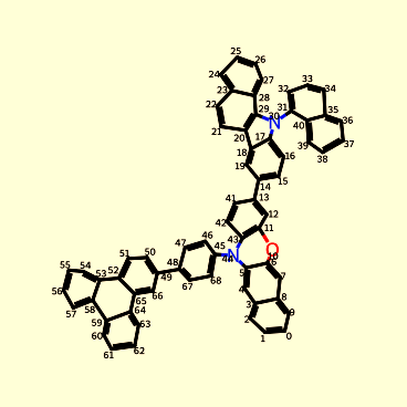 c1ccc2cc3c(cc2c1)Oc1cc(-c2ccc4c(c2)c2ccc5ccccc5c2n4-c2cccc4ccccc24)ccc1N3c1ccc(-c2ccc3c4ccccc4c4ccccc4c3c2)cc1